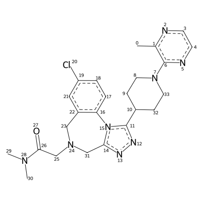 Cc1nccnc1N1CCC(c2nnc3n2-c2ccc(Cl)cc2CN(CC(=O)N(C)C)C3)CC1